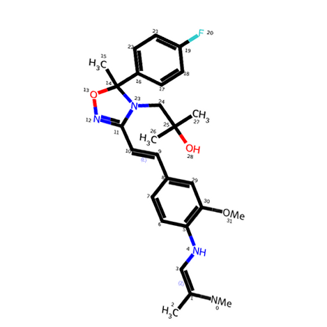 CN/C(C)=C\Nc1ccc(/C=C/C2=NOC(C)(c3ccc(F)cc3)N2CC(C)(C)O)cc1OC